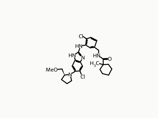 COC[C@@H]1CCCN1c1cc2[nH]c(Nc3cc(CNC(=O)C4(C)CCCCC4)ccc3Cl)nc2cc1Cl